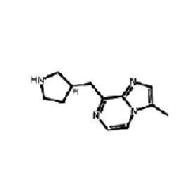 Cc1cnc2c(C[C@H]3CCNC3)nccn12